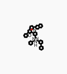 c1ccc(-c2cccc(C3=NC(c4ccc(-n5c6ccccc6c6cc7ccccc7cc65)c(-c5cccc6c5oc5ccccc56)c4)=NC(c4ccccc4)N3)c2)cc1